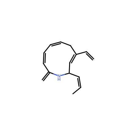 C=C/C1=C\C(/C=C\C)NC(=C)/C=C\C=C/C1